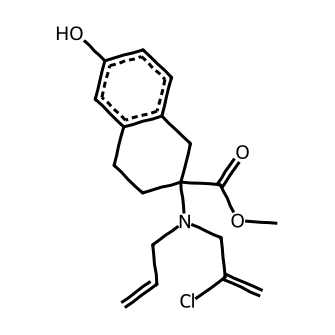 C=CCN(CC(=C)Cl)C1(C(=O)OC)CCc2cc(O)ccc2C1